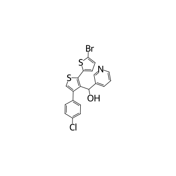 OC(c1cccnc1)c1c(-c2ccc(Cl)cc2)csc1-c1ccc(Br)s1